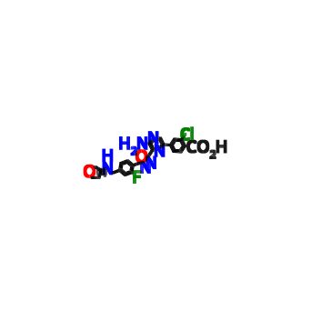 Nc1ncc(-c2ccc(C(=O)O)c(Cl)c2)nc1-c1nnc(-c2ccc(CN[C@@H]3CCOC3)cc2F)o1